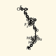 Cc1ncsc1-c1ccc([C@H](C)NC(=O)[C@@H]2C[C@@H](O)CN2C(=O)[C@@H](NC(=O)CCCCCC(=O)N2CCN(CC[C@H](CSc3ccccc3)Nc3ccc(S(=O)(=O)NC(=O)c4ccc(N5CCN(CC6=C(c7ccc(Cl)c(F)c7)CCC(C)(C)C6)CC5)cc4)cc3S(=O)(=O)C(F)(F)F)CC2)C(C)(C)C)cc1